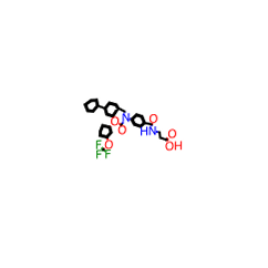 O=C(O)CCNC(=O)c1ccc(N(Cc2ccc(-c3ccccc3)cc2)C(=O)Oc2cccc(OC(F)(F)F)c2)cc1